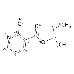 CCC(C)OC(=O)c1cccnc1[O]